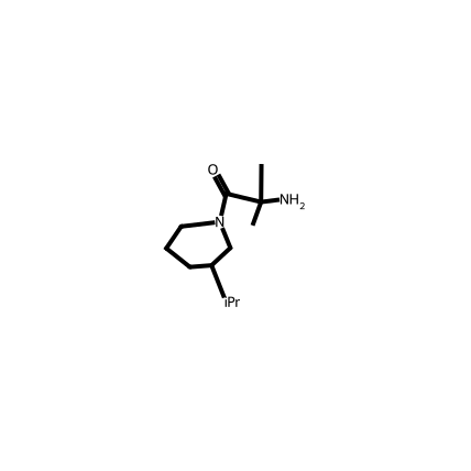 CC(C)C1CCCN(C(=O)C(C)(C)N)C1